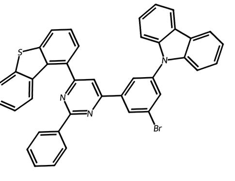 Brc1cc(-c2cc(-c3cccc4sc5ccccc5c34)nc(-c3ccccc3)n2)cc(-n2c3ccccc3c3ccccc32)c1